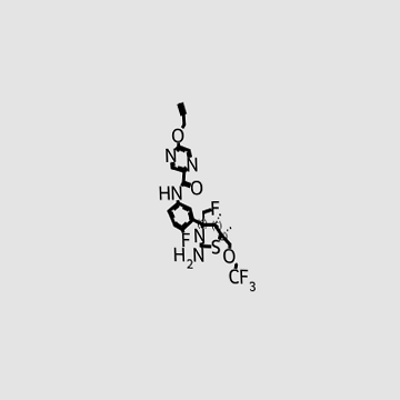 C#CCOc1cnc(C(=O)Nc2ccc(F)c([C@@]3(CF)N=C(N)S[C@](C)(COCC(F)(F)F)[C@H]3C)c2)cn1